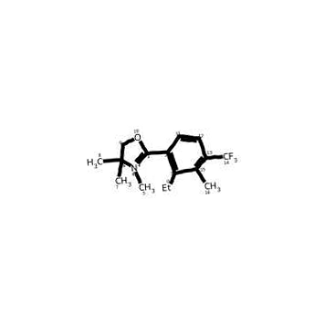 CCc1c(C2=[N+](C)C(C)(C)CO2)ccc(C(F)(F)F)c1C